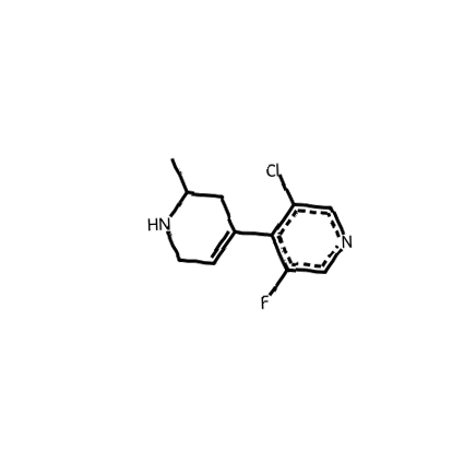 CC1CC(c2c(F)cncc2Cl)=CCN1